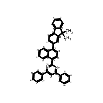 CC1(C)c2ccccc2-c2ccc(-c3ccc(-c4nc(-c5ccccc5)cc(-c5ccccc5)n4)c4ccccc34)cc21